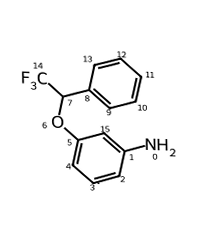 Nc1c[c]cc(OC(c2ccccc2)C(F)(F)F)c1